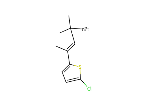 CCCC(C)(C)/C=C(\C)c1ccc(Cl)s1